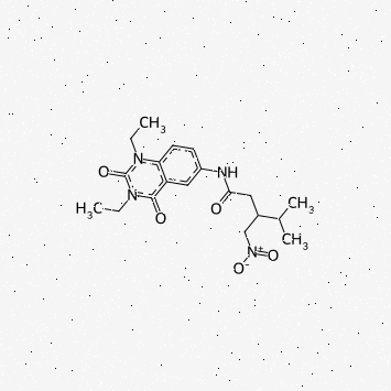 CCn1c(=O)c2cc(NC(=O)CC(C[N+](=O)[O-])C(C)C)ccc2n(CC)c1=O